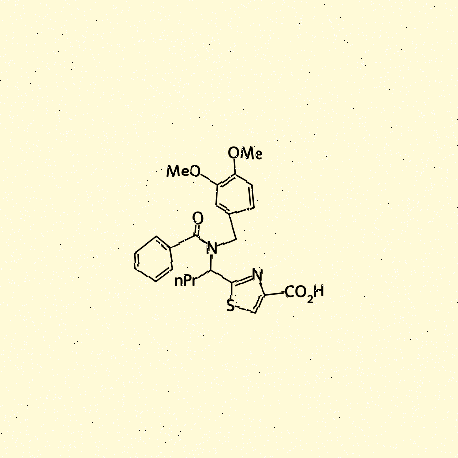 CCCC(c1nc(C(=O)O)cs1)N(Cc1ccc(OC)c(OC)c1)C(=O)c1ccccc1